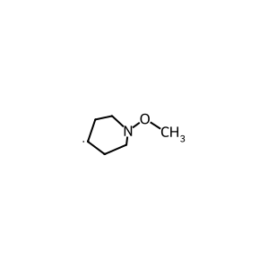 CON1CC[CH]CC1